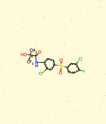 C[C@@](O)(C(=O)Nc1ccc(S(=O)(=O)c2ccc(F)c(Cl)c2)cc1Cl)C(F)(F)F